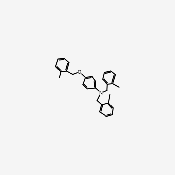 Cc1ccccc1COc1ccc(N(Cc2ccccc2C)Cc2ccccc2C)cc1